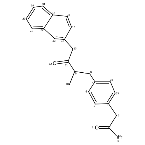 CC(C)C(=O)Cc1ccc(CC(C)C(=O)Cc2ccc3ccccc3c2)cc1